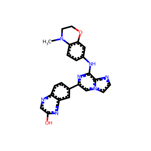 CN1CCOc2cc(Nc3nc(-c4ccc5ncc(O)nc5c4)cn4ccnc34)ccc21